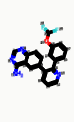 Nc1ncnc2ccc(-c3cccnc3-c3cccc(OC(F)F)c3)cc12